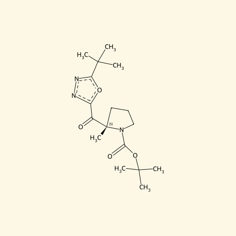 CC(C)(C)OC(=O)N1CCC[C@@]1(C)C(=O)c1nnc(C(C)(C)C)o1